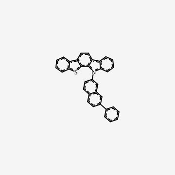 c1ccc(-c2ccc3ccc(-n4c5ccccc5c5ccc6c7ccccc7sc6c54)cc3c2)cc1